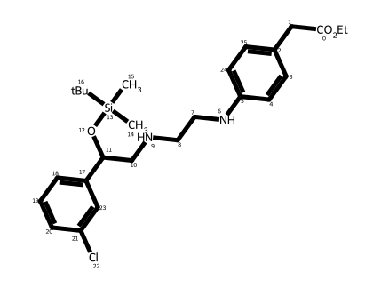 CCOC(=O)Cc1ccc(NCCNCC(O[Si](C)(C)C(C)(C)C)c2cccc(Cl)c2)cc1